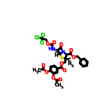 CC(=O)Oc1ccc(C(=O)OC[C@]2(C)S[C@H]3[C@H](NC(=O)OCC(Cl)(Cl)Cl)C(=O)N3C2C(=O)OCc2ccccc2)cc1OC(C)=O